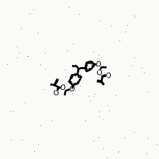 C=C(C)C(=O)OC(C)Oc1ccc(C(CC)c2ccc(OC(C)OC(=O)C(=C)C)cc2)cc1